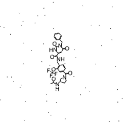 CC(=O)NC1CCN(C(=O)c2ccc(CNC(=O)c3cc(=O)n(Cc4ccccc4)c(=O)[nH]3)c(OC(F)(F)F)c2)C1